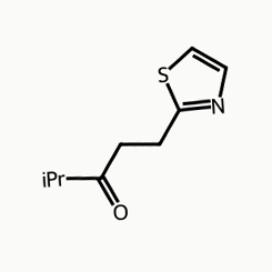 CC(C)C(=O)CCc1nccs1